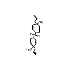 C=CCC1(O)C=CC(S(=O)(=O)C2C=CC(O)(CC=C)C=C2)C=C1